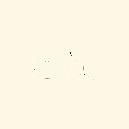 CC(=O)N1C[C@H](C(=O)O)[C@@H](c2ccccc2)C1